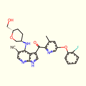 Cc1cc(Oc2ccccc2F)cnc1C(=O)c1c[nH]c2ncc(C#N)c(N[C@@H]3CC[C@@H](CO)OC3)c12